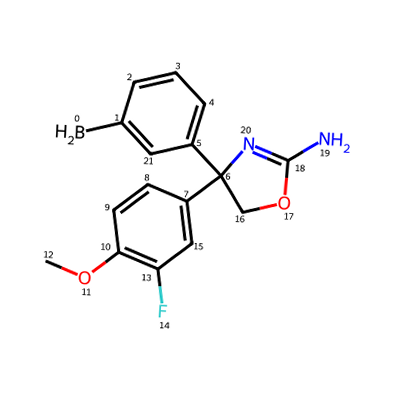 Bc1cccc(C2(c3ccc(OC)c(F)c3)COC(N)=N2)c1